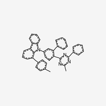 Cc1ccc(-c2cccc3c4ccccc4n(-c4ccc(-c5nc(C)nc(-c6ccccc6)n5)c(-c5ccccc5)c4)c23)cc1